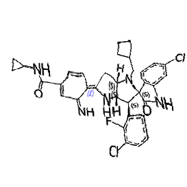 N=C1C=C(C(=O)NC2CC2)C=C/C1=C1\C[C@H]2[C@@H](N1)[C@H](c1cccc(Cl)c1F)[C@]1(C(=O)Nc3cc(Cl)ccc31)N2CC1CCC1